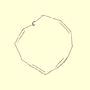 [CH]1C=CCC=CC=CCC=CC1